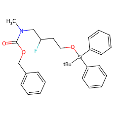 CN(CC(F)CCO[Si](c1ccccc1)(c1ccccc1)C(C)(C)C)C(=O)OCc1ccccc1